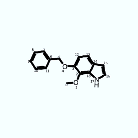 COc1c(OCc2ccccc2)ccc2cc[nH]c12